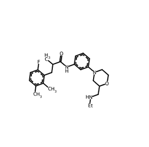 CCNCC1CN(c2cccc(NC(=O)C(C)Cc3c(F)ccc(C)c3C)c2)CCO1